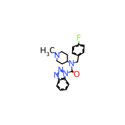 CN1CCC(N(Cc2ccc(F)cc2)C(=O)n2nnc3ccccc32)CC1